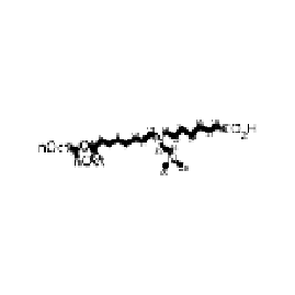 CCCCCCCCC(CCCCCCCC)OC(=O)CCCCCCCN(CCCCCCCC(=O)O)CCN(C)C